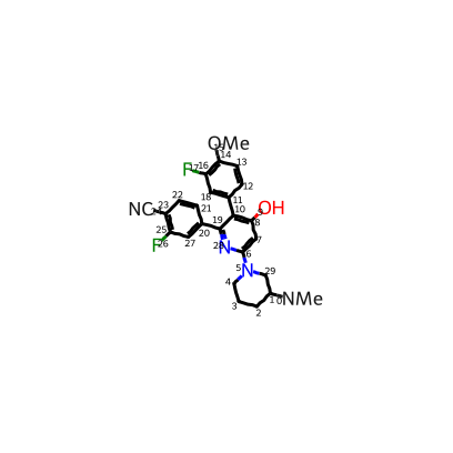 CNC1CCCN(c2cc(O)c(-c3ccc(OC)c(F)c3)c(-c3ccc(C#N)c(F)c3)n2)C1